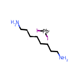 NCCCCCCCCN.[I][Pb][I]